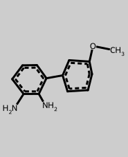 COc1cccc(-c2cccc(N)c2N)c1